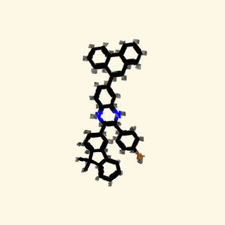 CC1(C)c2ccccc2-c2cc(-c3nc4ccc(-c5cc6ccccc6c6ccccc56)cc4nc3-c3ccc(Br)cc3)ccc21